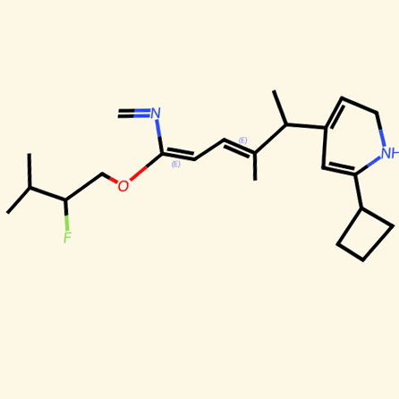 C=N/C(=C\C=C(/C)C(C)C1=CCNC(C2CCC2)=C1)OCC(F)C(C)C